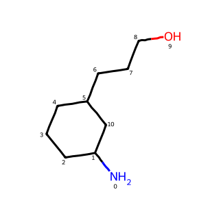 NC1CCCC(CCCO)C1